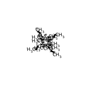 CCCOC[Si]1(C(C)C)O[Si](COCCC)(C(C)C)O[Si](COCCC)(C(C)C)O[Si](COCCC)(C(C)C)O1